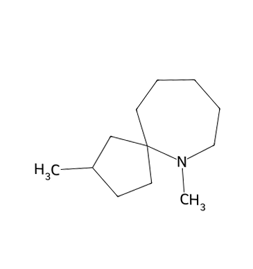 CC1CCC2(CCCCCN2C)C1